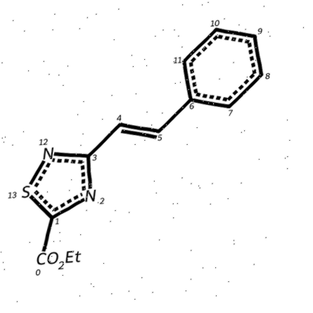 CCOC(=O)c1nc(C=Cc2ccccc2)ns1